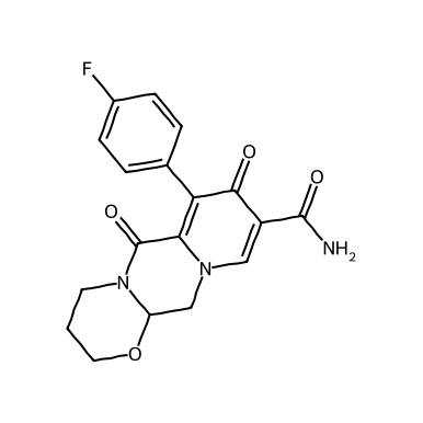 NC(=O)c1cn2c(c(-c3ccc(F)cc3)c1=O)C(=O)N1CCCOC1C2